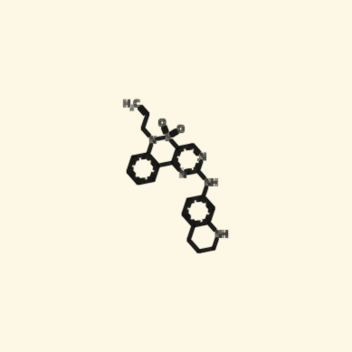 C=CCN1c2ccccc2-c2nc(Nc3ccc4c(c3)NCCC4)ncc2S1(=O)=O